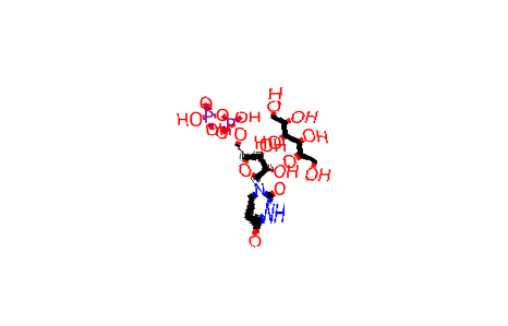 O=C(CO)C(O)C(O)C(O)CO.O=c1ccn([C@@H]2O[C@H](COP(=O)(O)OP(=O)(O)O)[C@@H](O)[C@H]2O)c(=O)[nH]1